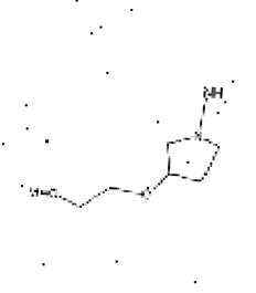 COCCOC1CCN(N)C1